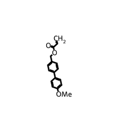 C=CC(=O)OCc1ccc(-c2ccc(OC)cc2)cc1